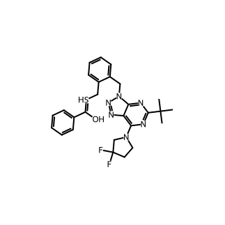 CC(C)(C)c1nc(N2CCC(F)(F)C2)c2nnn(Cc3ccccc3C[SH]=C(O)c3ccccc3)c2n1